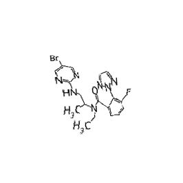 CCN(C(=O)c1cccc(F)c1-n1nccn1)C(C)CNc1ncc(Br)cn1